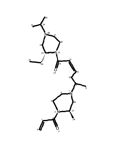 C=CC(=O)N1CCN(C(C)C/C=C\C(=O)N2CCN(C(C)C)C[C@H]2CC)C[C@H]1C